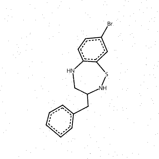 Brc1ccc2c(c1)SNC(Cc1ccccc1)CN2